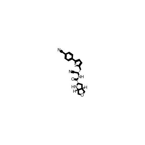 N#Cc1ccc(-c2ccc(C[C@@H](C#N)NC(=O)[C@@H]3C[C@@H]4COC[C@@H]4N3)s2)cc1